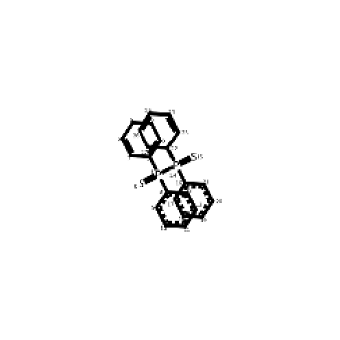 S=P(C1=CCCC=C1)(c1ccccc1)P(=S)(c1ccccc1)C1C=CC=CC1